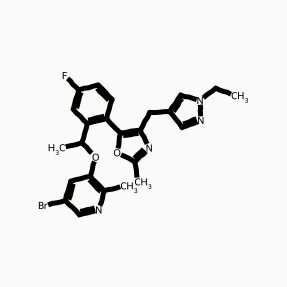 CCn1cc(Cc2nc(C)oc2-c2ccc(F)cc2C(C)Oc2cc(Br)cnc2C)cn1